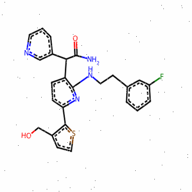 NC(=O)C(c1cccnc1)c1ccc(-c2sccc2CO)nc1NCCc1cccc(F)c1